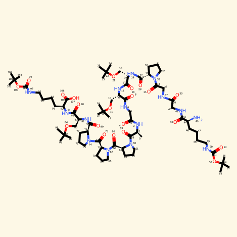 C[C@H](NC(=O)CNC(=O)[C@H](COC(C)(C)C)NC(=O)[C@H](COC(C)(C)C)NC(=O)[C@@H]1CCCN1C(=O)CNC(=O)CNC(=O)[C@@H](N)CCCCNC(=O)OC(C)(C)C)C(=O)N1CCC[C@H]1C(=O)N1CCC[C@H]1C(=O)N1CCC[C@H]1C(=O)N[C@@H](COC(C)(C)C)C(=O)N[C@@H](CCCCNC(=O)OC(C)(C)C)C(=O)O